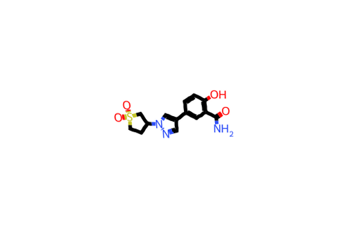 NC(=O)c1cc(-c2cnn(C3CCS(=O)(=O)C3)c2)ccc1O